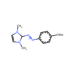 COc1ccc(/N=N/C2N(C)C=CN2C)cc1